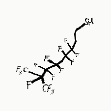 FC(F)(F)C(F)(C(F)(F)F)C(F)(F)C(F)(F)C(F)(F)C(F)(F)CCS